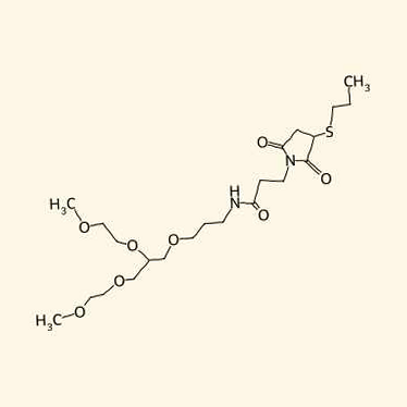 CCCSC1CC(=O)N(CCC(=O)NCCCOCC(COCCOC)OCCOC)C1=O